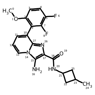 COc1ccc(F)c(F)c1-c1cccn2c(N)c(C(=O)NC3CC(C)C3)nc12